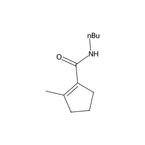 CCCCNC(=O)C1=C(C)CCC1